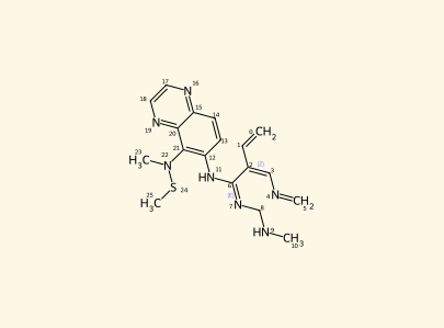 C=CC(=C/N=C)/C(=N\CNC)Nc1ccc2nccnc2c1N(C)SC